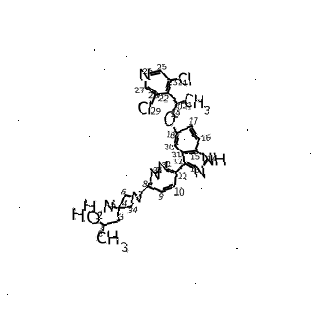 C[C@@H](O)CC1(N)CN(c2ccc(-c3n[nH]c4ccc(O[C@H](C)c5c(Cl)cncc5Cl)cc34)nn2)C1